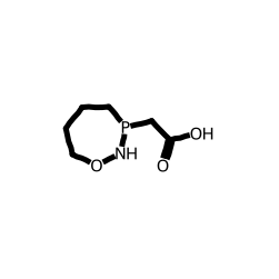 O=C(O)CP1CCCCON1